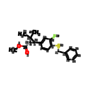 COC(=O)[C@H]1[C@H](c2ccc(SCc3ccccc3)c(F)c2)C1(C)C